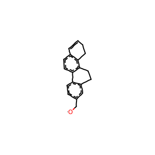 [O]Cc1ccc2c(c1)CCc1c-2ccc2c1CCC=C2